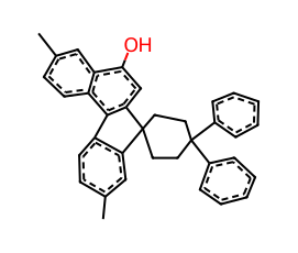 Cc1ccc2c(c1)C1(CCC(c3ccccc3)(c3ccccc3)CC1)c1cc(O)c3cc(C)ccc3c1-2